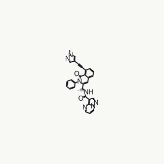 C[C@@H](NC(=O)c1cnn2cccnc12)c1cc2cccc(C#Cc3cnn(C)c3)c2c(=O)n1-c1ccccc1